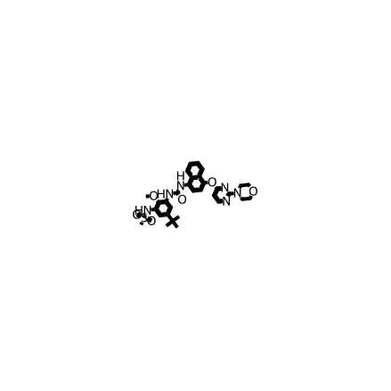 COc1c(NC(=O)Nc2ccc(Oc3ccnc(N4CCOCC4)n3)c3ccccc23)cc(C(C)(C)C)cc1NS(C)(=O)=O